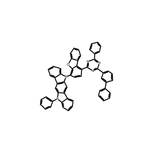 c1ccc(-c2cccc(-c3nc(-c4ccccc4)nc(-c4ccc(-n5c6ccccc6c6cc7c(cc65)c5ccccc5n7-c5ccccc5)c5oc6ccccc6c45)n3)c2)cc1